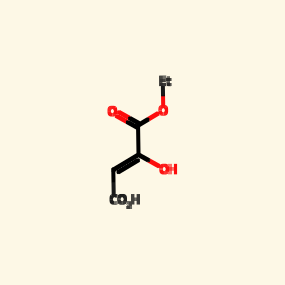 CCOC(=O)C(O)=CC(=O)O